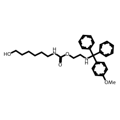 COc1ccc(C(NCCOC(=O)NCCCCCCO)(c2ccccc2)c2ccccc2)cc1